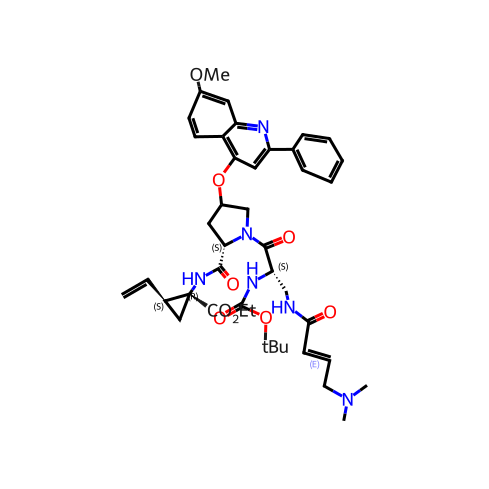 C=C[C@@H]1C[C@]1(NC(=O)[C@@H]1CC(Oc2cc(-c3ccccc3)nc3cc(OC)ccc23)CN1C(=O)[C@H](CNC(=O)/C=C/CN(C)C)NC(=O)OC(C)(C)C)C(=O)OCC